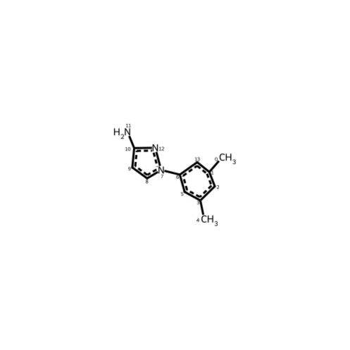 Cc1cc(C)cc(-n2ccc(N)n2)c1